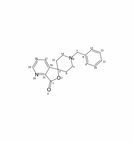 O=C1OC2(CCN(Cc3ccccc3)CC2)c2cccnc21